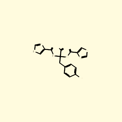 O=C(NC(Cc1ccc(O)cc1)(NC(=O)c1c[nH]cn1)C(=O)O)c1c[nH]cn1